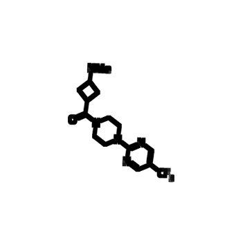 CNC1CC(C(=O)N2CCN(c3ncc(C(F)(F)F)cn3)CC2)C1